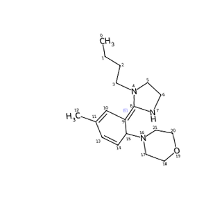 CCCCN1CCN/C1=C1/C=C(C)C=CC1N1CCOCC1